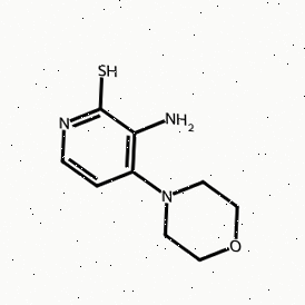 Nc1c(N2CCOCC2)ccnc1S